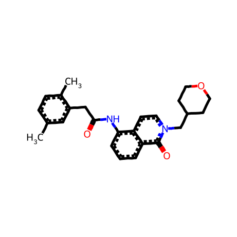 Cc1ccc(C)c(CC(=O)Nc2cccc3c(=O)n(CC4CCOCC4)ccc23)c1